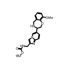 COc1cccc2c1OCC(c1ccc3nc(CNC(=O)OC(C)(C)C)cn3c1)NC2